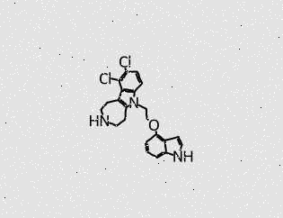 Clc1ccc2c(c1Cl)c1c(n2CCOc2cccc3[nH]ccc23)CCNCC1